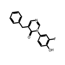 O=c1c(Cc2ccccc2)cncn1-c1ccc(O)c(F)c1